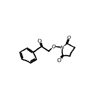 O=C(CON1C(=O)CCC1=O)c1ccccc1